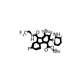 CCCCc1c(F)c(N2CCCCC2N)c(C(=O)OC(C)(C)C)c2c1C(C(=O)NCC(F)(F)F)c1cc(F)ccc1-2